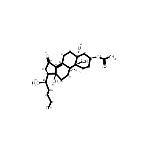 CC(=O)O[C@H]1CC[C@@]2(C)[C@@H](CCC3=C4C(=O)C[C@H]([C@H](C)CCCCl)[C@@]4(C)CC[C@@H]32)C1